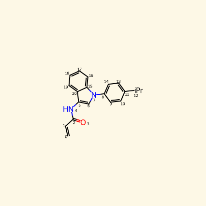 C=CC(=O)Nc1cn(-c2ccc(C(C)C)cc2)c2ccccc12